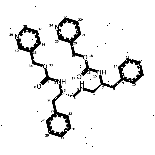 O=C(N[C@H](CNC[C@H](Cc1ccccc1)NC(=O)OCc1cccnc1)Cc1ccccc1)OCc1cccnc1